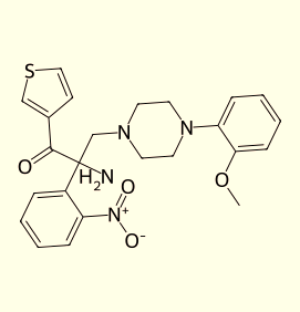 COc1ccccc1N1CCN(CC(N)(C(=O)c2ccsc2)c2ccccc2[N+](=O)[O-])CC1